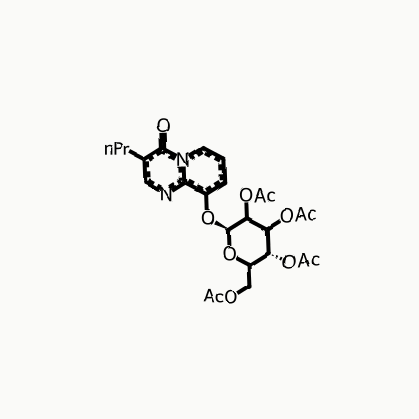 CCCc1cnc2c(O[C@@H]3OC(COC(C)=O)[C@@H](OC(C)=O)C(OC(C)=O)C3OC(C)=O)cccn2c1=O